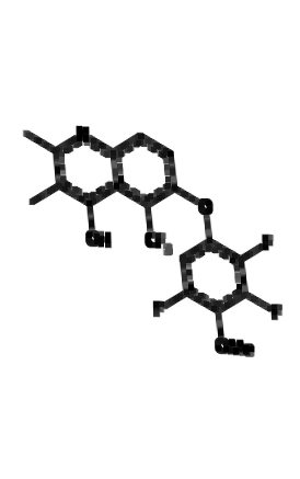 COc1c(F)cc(Oc2ccc3nc(C)c(C)c(O)c3c2C(F)(F)F)c(F)c1F